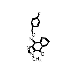 Cn1cnc2c1C(=O)c1ccccc1C2=NOCc1ccc(F)cc1